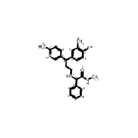 CNC(=O)C(NCCC(c1ccc(C)nc1)c1ccc(F)c(C)c1)c1ccccc1